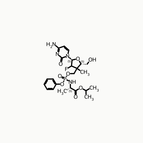 CC(C)OC(=O)[C@H](C)NP(=O)(OCC1(C)C(F)[C@@H](n2ccc(N)nc2=O)O[C@@H]1CO)Oc1ccccc1